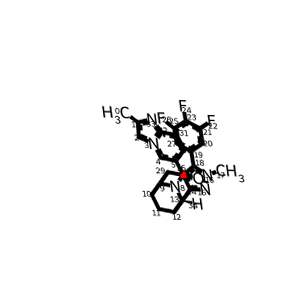 Cc1cn2cc(C(=O)N3C4CCC[C@H]3c3nn(C)c(-c5cc(F)c(F)c(F)c5)c3C4)ccc2n1